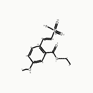 CCOC(=O)c1cc(OC)ccc1C=CS(=O)(=O)F